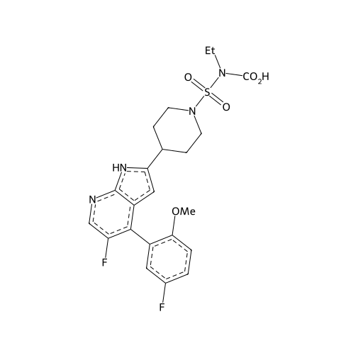 CCN(C(=O)O)S(=O)(=O)N1CCC(c2cc3c(-c4cc(F)ccc4OC)c(F)cnc3[nH]2)CC1